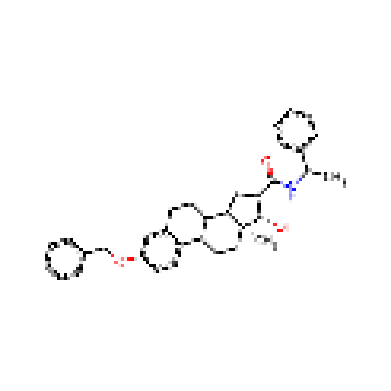 CC(NC(=O)C1CC2C3CCc4cc(OCc5ccccc5)ccc4C3CC[C@]2(C)[C@H]1O)c1ccccc1